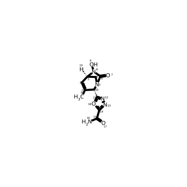 CC1=C[C@@H]2CN(C(=O)N2O)[C@@H]1c1nnc(C(N)=O)o1